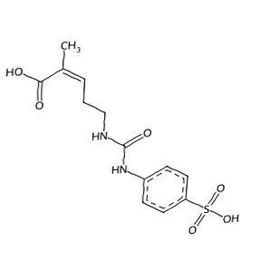 CC(=CCCNC(=O)Nc1ccc(S(=O)(=O)O)cc1)C(=O)O